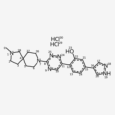 CN1CCC2(CCN(c3ncc(-c4ccc(-c5cn[nH]c5)cc4O)nn3)CC2)C1.Cl.Cl